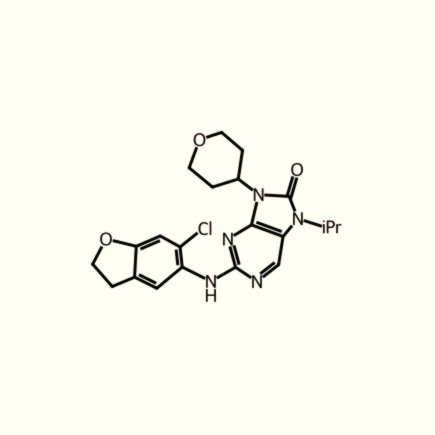 CC(C)n1c(=O)n(C2CCOCC2)c2nc(Nc3cc4c(cc3Cl)OCC4)ncc21